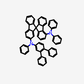 c1ccc(-c2ccc(N(c3ccccc3)c3ccc4c(c3)C3(c5ccccc5-4)c4ccccc4-c4c(N(c5ccccc5)c5ccccc5)cccc43)cc2-c2ccccc2)cc1